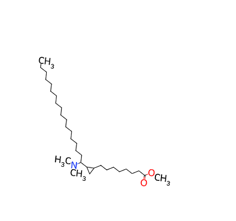 CCCCCCCCCCCCCCCCCC(C1CC1CCCCCCCC(=O)OC)N(C)C